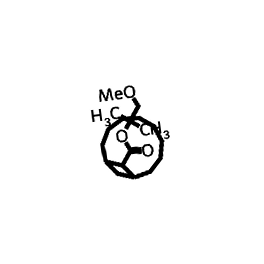 COCC(C)(C)OC(=O)C1C2CCCCCCCCC1C2